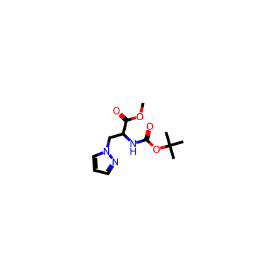 COC(=O)C(Cn1cccn1)NC(=O)OC(C)(C)C